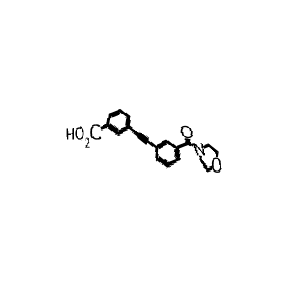 O=C(O)c1cccc(C#Cc2cccc(C(=O)N3CCOCC3)c2)c1